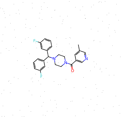 Cc1cncc(C(=O)N2CCN(C(c3cccc(F)c3)c3cccc(F)c3)CC2)c1